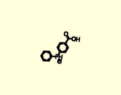 O=C(O)c1ccc([PH](=O)c2ccccc2)cc1